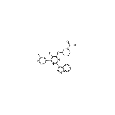 Cc1cc(-c2nc(-c3cnn4ccccc34)nc(O[C@@H]3CCCN(C(=O)O)C3)c2F)ccn1